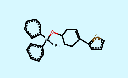 CC(C)(C)[Si](OC1CC=C(c2cccs2)CC1)(c1ccccc1)c1ccccc1